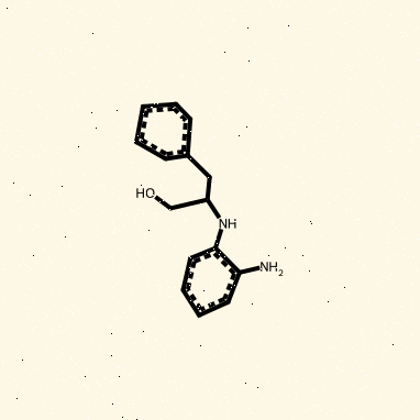 Nc1ccccc1NC(CO)Cc1ccccc1